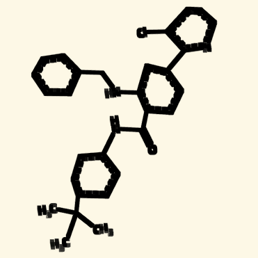 CC(C)(C)c1ccc(NC(=O)c2ccc(-c3ncccc3Cl)cc2NCc2ccccc2)cc1